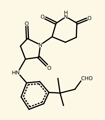 CC(C)(CC=O)c1cccc(NC2CC(=O)N(C3CCC(=O)NC3=O)C2=O)c1